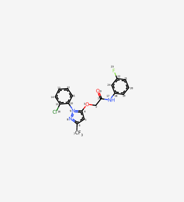 O=C(COc1cc(C(F)(F)F)nn1-c1ccccc1Cl)Nc1cccc(F)c1